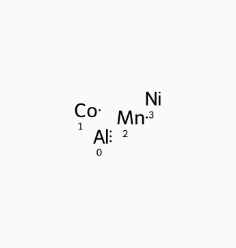 [Al].[Co].[Mn].[Ni]